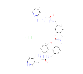 Cl.Cl.NC(Cc1cccnc1)C(=O)NCc1ccc(CN(Cc2ccc(CNC(=O)C(N)Cc3cccnc3)cc2)C(=O)OCc2ccccc2)cc1